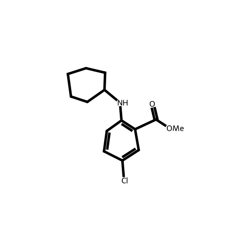 COC(=O)c1cc(Cl)ccc1NC1CCCCC1